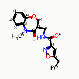 CC(C)Cc1cc(C(=O)NCC2COc3ccccc3N(C)C2=O)no1